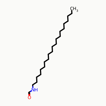 CCCCCCCCCCCCCCCCCCCCCNC=O